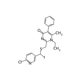 CCn1c(CSC(I)c2ccc(Cl)nc2)nc(=O)c(-c2ccccc2)c1C